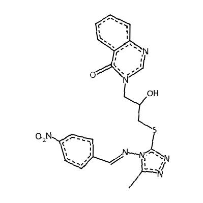 Cc1nnc(SCC(O)Cn2cnc3ccccc3c2=O)n1N=Cc1ccc([N+](=O)[O-])cc1